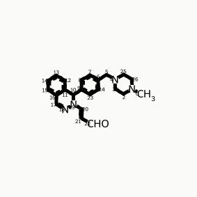 CN1CCN(Cc2ccc(C3c4ccccc4C=NN3C=CC=O)cc2)CC1